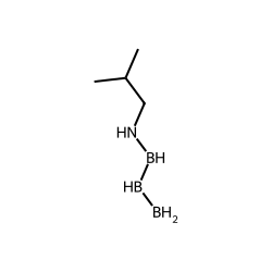 BBBNCC(C)C